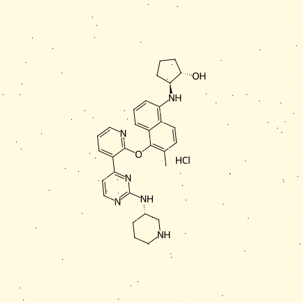 Cc1ccc2c(N[C@H]3CCC[C@@H]3O)cccc2c1Oc1ncccc1-c1ccnc(N[C@H]2CCCNC2)n1.Cl